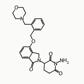 NN1C(=O)CCC(N2Cc3c(OCc4ccccc4CN4CCOCC4)cccc3C2=O)C1=O